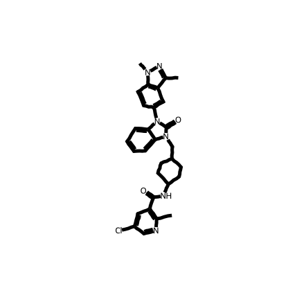 Cc1ncc(Cl)cc1C(=O)NC1CCC(Cn2c(=O)n(-c3ccc4c(c3)c(C)nn4C)c3ccccc32)CC1